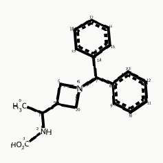 CC(NC(=O)O)C1CN(C(c2ccccc2)c2ccccc2)C1